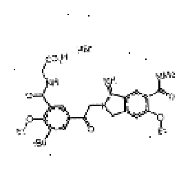 Br.CCOc1cc2c(cc1C(=O)NC)C(=N)N(CC(=O)c1cc(C(=O)NCC(=O)O)c(OCC)c(C(C)(C)C)c1)C2